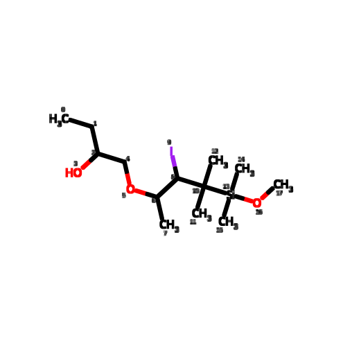 CCC(O)COC(C)C(I)C(C)(C)[Si](C)(C)OC